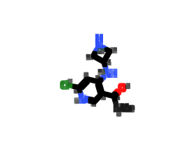 CNC(=O)c1cnc(Cl)cc1NC1CNC1